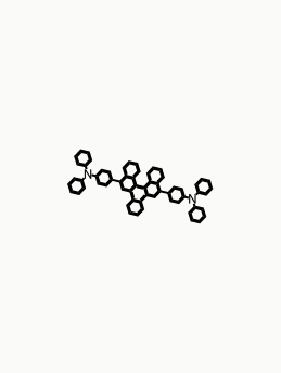 c1ccc(N(c2ccccc2)c2ccc(-c3cc4c5ccccc5c5cc(-c6ccc(N(c7ccccc7)c7ccccc7)cc6)c6ccccc6c5c4c4ccccc34)cc2)cc1